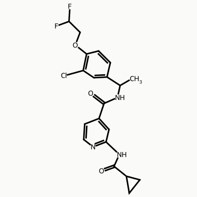 CC(NC(=O)c1ccnc(NC(=O)C2CC2)c1)c1ccc(OCC(F)F)c(Cl)c1